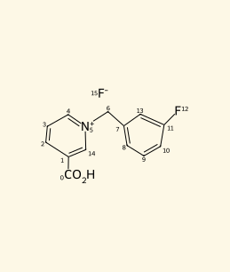 O=C(O)c1ccc[n+](Cc2cccc(F)c2)c1.[F-]